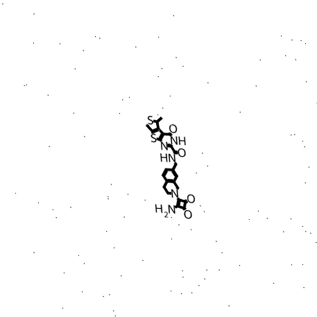 CC1SCc2sc3nc(C(=O)NCc4ccc5c(c4)CN(c4c(N)c(=O)c4=O)CC5)[nH]c(=O)c3c21